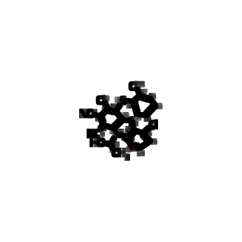 CCON(c1c(C#N)c(C#N)c(Cl)c(Sc2ccccc2Cl)c1Sc1ccccc1Cl)C(C)O